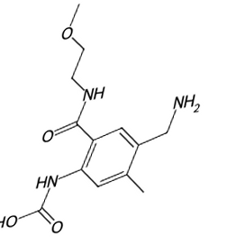 COCCNC(=O)c1cc(CN)c(C)cc1NC(=O)O